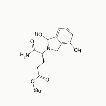 CC(C)(C)OC(=O)CC[C@@H](C(N)=O)N1Cc2c(O)cccc2C1O